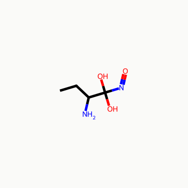 CCC(N)C(O)(O)N=O